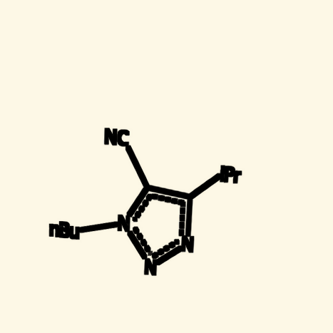 CCCCn1nnc(C(C)C)c1C#N